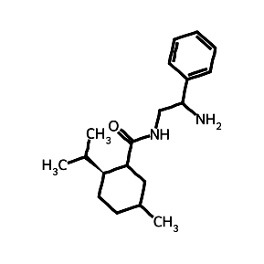 CC1CC[C@@H](C(C)C)C(C(=O)NCC(N)c2ccccc2)C1